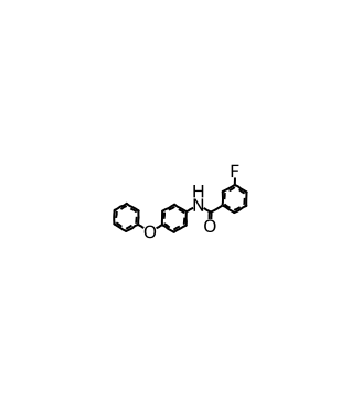 O=C(Nc1ccc(Oc2ccccc2)cc1)c1cccc(F)c1